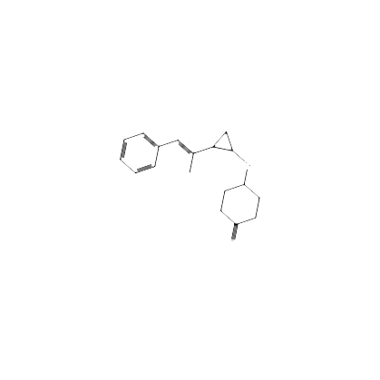 C/C(=C\c1ccccc1)C1CC1NC1CCC(=O)CC1